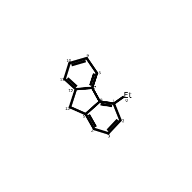 [CH2]Cc1cccc2c1-c1ccccc1C2